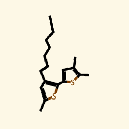 CCCCCCCc1cc(C)sc1-c1cc(C)c(C)s1